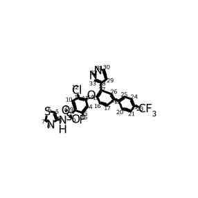 O=S(=O)(Nc1cscn1)c1cc(Cl)c(Oc2ccc(-c3ccc(C(F)(F)F)cc3)cc2-c2ccnnc2)cc1F